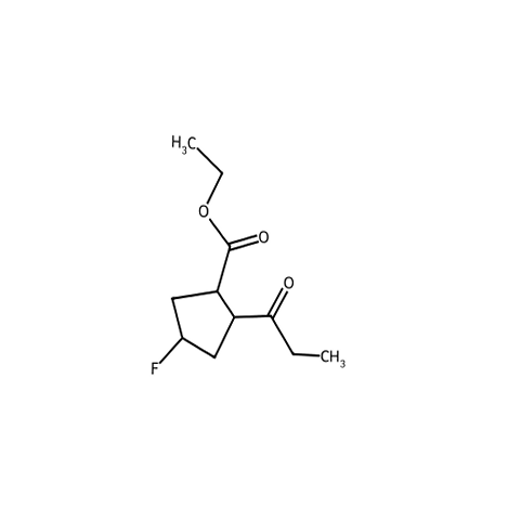 CCOC(=O)C1CC(F)CC1C(=O)CC